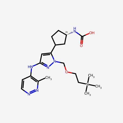 Cc1nnccc1Nc1cc(C2CC[C@H](NC(=O)O)C2)n(COCC[Si](C)(C)C)n1